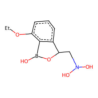 CCOc1cccc2c1B(O)OC2CN(O)O